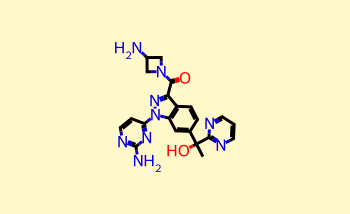 CC(O)(c1ccc2c(C(=O)N3CC(N)C3)nn(-c3ccnc(N)n3)c2c1)c1ncccn1